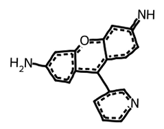 N=c1ccc2c(-c3cccnc3)c3ccc(N)cc3oc-2c1